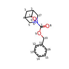 O=C1C2CC1CN(C(=O)OCc1ccccc1)C2